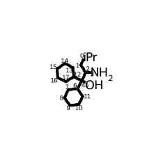 CC(C)CC(N)C(O)(C1CCCCC1)C1CCCCC1